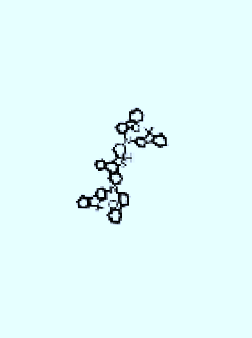 CC1(C)c2ccccc2-c2ccc(N(c3ccc4c5c(c6ccccc6c4c3)C3=CC[C@H](N(c4ccc6c(c4)C(C)(C)c4ccccc4-6)c4cccc6c7c(oc46)CCC=C7)C[C@@H]3S5)c3cccc4c3oc3ccccc34)cc21